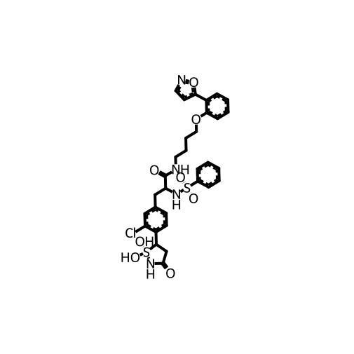 O=C1CC(c2ccc(CC(NS(=O)(=O)c3ccccc3)C(=O)NCCCCOc3ccccc3-c3ccno3)cc2Cl)S(O)(O)N1